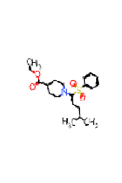 CCOC(=O)C1CCN(C(CCC(C)C)S(=O)(=O)c2ccccc2)CC1